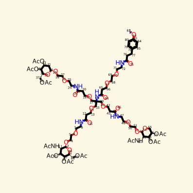 CC(=O)N[C@@H]1[C@H](OCCOCCNC(=O)CCOCC(COCCC(=O)NCCOCCO[C@H]2C[C@@H](OC(C)=O)[C@@H](OC(C)=O)[C@@H](COC(C)=O)O2)(COCCC(=O)NCCOCCO[C@H]2OC[C@@H](OC(C)=O)[C@@H](OC(C)=O)[C@@H]2NC(C)=O)NC(=O)CCOCCOCCNC(=O)CCc2ccc(OI)cc2)O[C@H](COC(C)=O)[C@@H](OC(C)=O)[C@H]1OC(C)=O